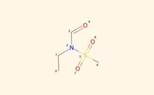 CCN(C=O)S(C)(=O)=O